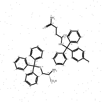 Cc1ccc(C(N[C@@H](CCC(N)=O)C(=O)O)(c2ccccc2)c2ccccc2)cc1.N[C@@H](CSC(c1ccccc1)(c1ccccc1)c1ccccc1)C(=O)O